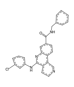 O=C(NCc1ccccc1)c1ccc2c(c1)nc(Nc1cccc(Cl)c1)c1ccncc12